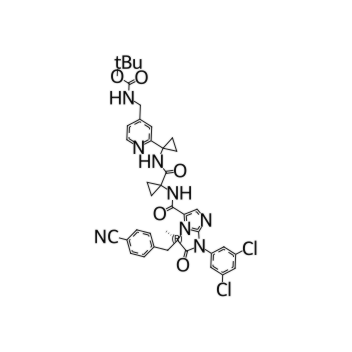 CC(C)(C)OC(=O)NCc1ccnc(C2(NC(=O)C3(NC(=O)c4cnc5n4[C@](C)(Cc4ccc(C#N)cc4)C(=O)N5c4cc(Cl)cc(Cl)c4)CC3)CC2)c1